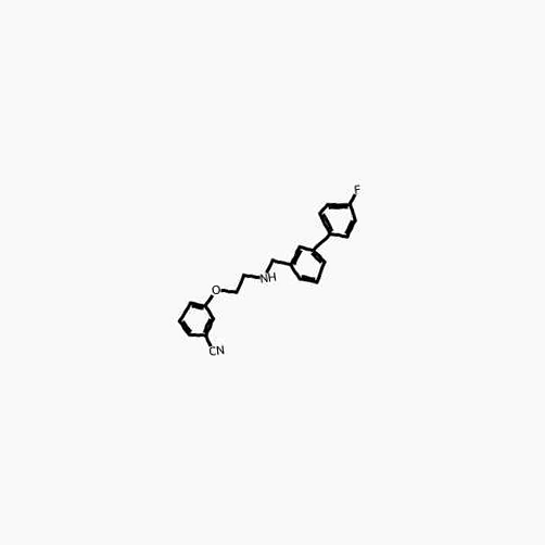 N#Cc1cccc(OCCNCc2cccc(-c3ccc(F)cc3)c2)c1